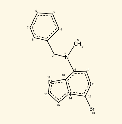 CN(Cc1ccccc1)c1ccc(Br)n2ccnc12